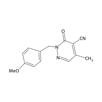 COc1ccc(Cn2ncc(C)c(C#N)c2=O)cc1